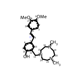 COc1ccc(/C=C/c2ccc(O)c(CN3CCN(C)CCN(C)CC3)c2)cc1OC